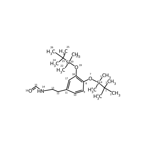 CC(C)(C)[Si](C)(C)Oc1ccc(CCNC=O)cc1O[Si](C)(C)C(C)(C)C